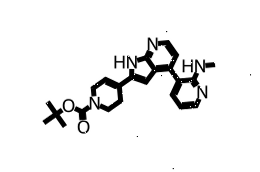 CNc1ncccc1-c1ccnc2[nH]c(C3=CCN(C(=O)OC(C)(C)C)CC3)cc12